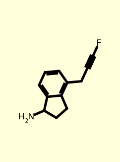 NC1CCc2c(CC#CF)cccc21